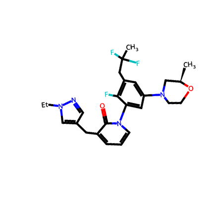 CCn1cc(Cc2cccn(-c3cc(N4CCO[C@H](C)C4)cc(CC(C)(F)F)c3F)c2=O)cn1